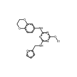 CCOc1nc(NCc2ccco2)nc(Nc2ccc3c(c2)OCCO3)n1